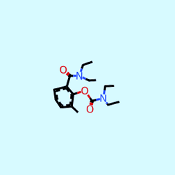 CCN(CC)C(=O)Oc1c(C)cccc1C(=O)N(CC)CC